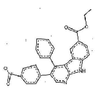 CCOC(=O)c1ccc2[nH]c3ncc(-c4ccc([N+](=O)[O-])cc4)c(-c4ccccc4)c3c2c1